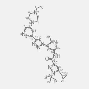 CCN1CCN(c2cncc(-c3cn(-c4cc(NC(=O)c5cc(C6CC6)n(C(C)(C)C)n5)cnc4C)nn3)c2)CC1